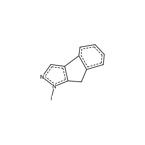 In1ncc2c1Cc1ccccc1-2